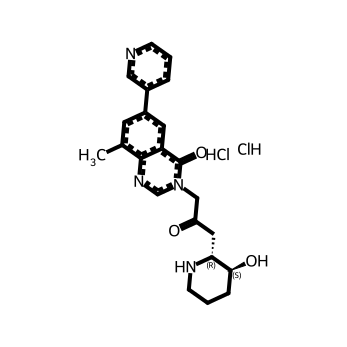 Cc1cc(-c2cccnc2)cc2c(=O)n(CC(=O)C[C@H]3NCCC[C@@H]3O)cnc12.Cl.Cl